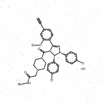 C#Cc1ccc(C2=N[C@@H](c3ccc(Cl)cc3)[C@@H](c3ccc(Cl)cc3)N2C(=O)N2CCN(CC(=O)NC(C)(C)C)CC2)c(OCC)c1.Cl